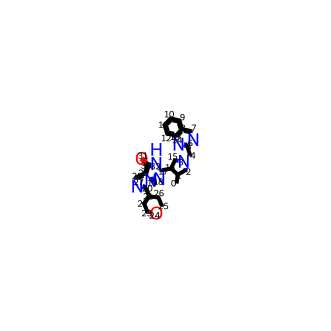 CC1CN(Cc2ncc3ccccc3n2)CC1c1nn2c(C3CCOCC3)ncc2c(=O)[nH]1